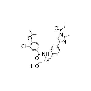 CCC(=O)n1cc(-c2ccc(C[C@@H](CCO)NC(=O)c3ccc(OC(C)C)c(Cl)c3)cc2)nc1C